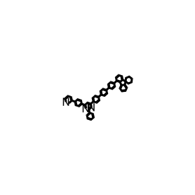 c1ccc(-c2nc(-c3ccc(-c4ccc(-c5ccc(-c6cccc7c6-c6ccccc6C76CCCCC6)cc5)cc4)cc3)cc(-c3ccc(-c4cccnc4)cc3)n2)cc1